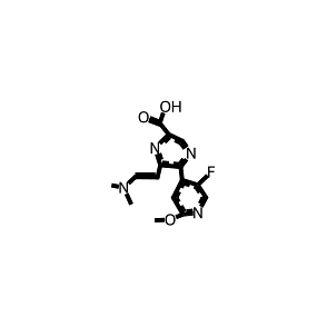 COc1cc(-c2ncc(C(=O)O)nc2/C=C/N(C)C)c(F)cn1